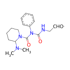 CN(C)C1CCCCN1C(=O)N(C(=O)NC[C]=O)c1ccccc1